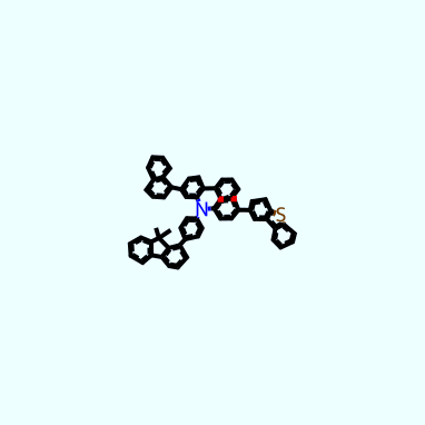 CC1(C)c2ccccc2-c2cccc(-c3ccc(N(c4ccc(-c5ccc6sc7ccccc7c6c5)cc4)c4cc(-c5cccc6ccccc56)ccc4-c4ccccc4)cc3)c21